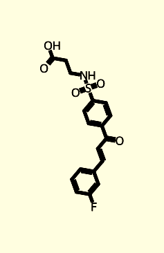 O=C(O)CCNS(=O)(=O)c1ccc(C(=O)/C=C/c2cccc(F)c2)cc1